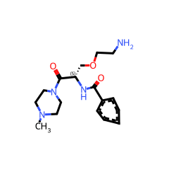 CN1CCN(C(=O)[C@H](COCCN)NC(=O)c2ccccc2)CC1